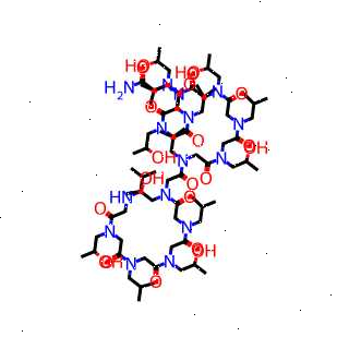 CC(C)CNCC(=O)N(CC(=O)N(CC(=O)N(CC(=O)N(CC(=O)N(CC(=O)N(CC(=O)N(CC(=O)N(CC(=O)N(CC(=O)N(CC(=O)N(CC(=O)N(CC(=O)N(CC(N)=O)CC(C)O)CC(C)C)CC(C)O)CC(C)C)CC(C)O)CC(C)C)CC(C)O)CC(C)C)CC(C)O)CC(C)C)CC(C)O)CC(C)C)CC(C)O